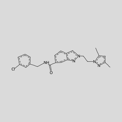 Cc1cc(C)n(CCn2cc3ccc(C(=O)NCc4cccc(Cl)c4)cc3n2)n1